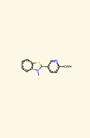 COc1ccc(C2Sc3ccccc3N2C)cn1